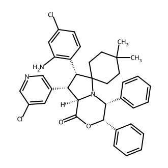 CC1(C)CCC2(CC1)[C@@H](c1ccc(Cl)cc1N)[C@@H](c1cncc(Cl)c1)[C@@H]1C(=O)O[C@@H](c3ccccc3)[C@@H](c3ccccc3)N12